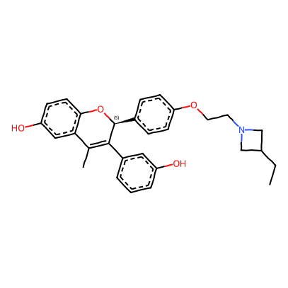 CCC1CN(CCOc2ccc([C@@H]3Oc4ccc(O)cc4C(C)=C3c3cccc(O)c3)cc2)C1